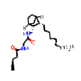 C#CCCC(=O)NCC(=O)NC[C@@H]1[C@@H]2CC[C@@H](C2)[C@@H]1CCCCCCC(=O)O